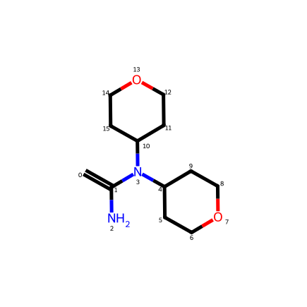 C=C(N)N(C1CCOCC1)C1CCOCC1